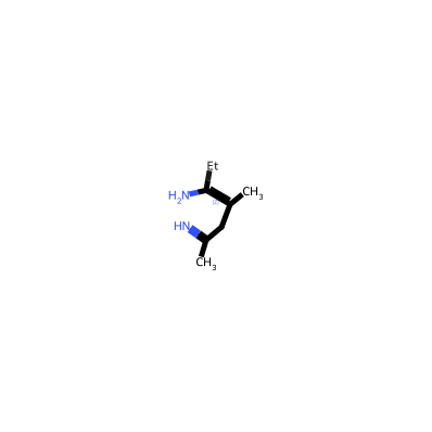 CC/C(N)=C(\C)CC(C)=N